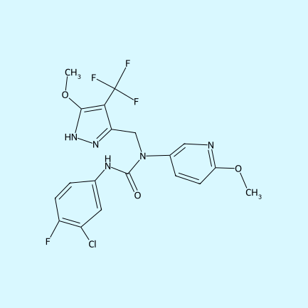 COc1ccc(N(Cc2n[nH]c(OC)c2C(F)(F)F)C(=O)Nc2ccc(F)c(Cl)c2)cn1